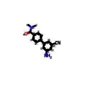 CN(C)C(=O)c1ccc(-c2cc(N)cc(C#N)c2)cc1